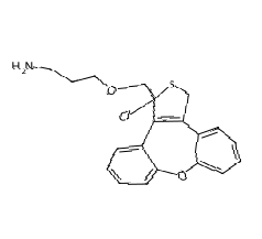 NCCCOCC1(Cl)SCC2=C1c1ccccc1Oc1ccccc12